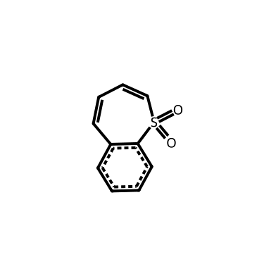 O=S1(=O)C=CC=Cc2ccccc21